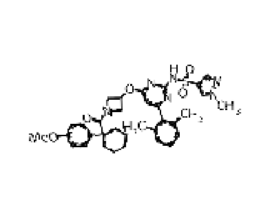 COc1ccc(C2(C(=O)N3CC(Oc4cc(-c5c(C)cccc5C)nc(NS(=O)(=O)c5cnn(C)c5)n4)C3)CCCCC2)cc1